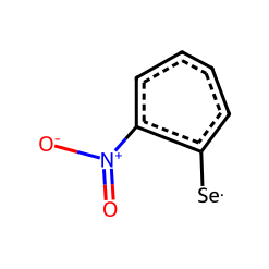 O=[N+]([O-])c1ccccc1[Se]